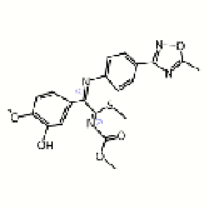 COC(=O)/N=C(SC)/C(=N\c1ccc(-c2noc(C)n2)cc1)c1ccc(OC)c(O)c1